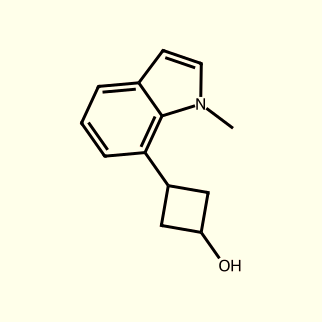 Cn1ccc2cccc(C3CC(O)C3)c21